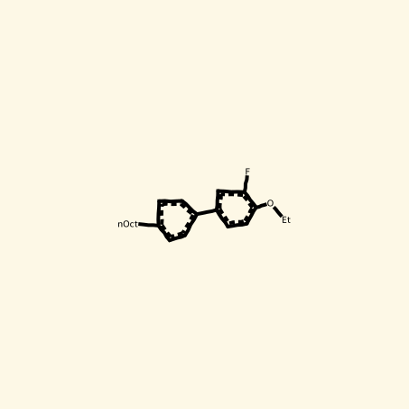 CCCCCCCCc1ccc(-c2ccc(OCC)c(F)c2)cc1